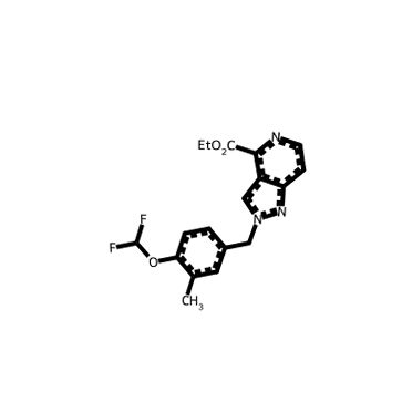 CCOC(=O)c1nccc2nn(Cc3ccc(OC(F)F)c(C)c3)cc12